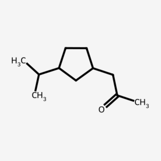 CC(=O)CC1CCC(C(C)C)C1